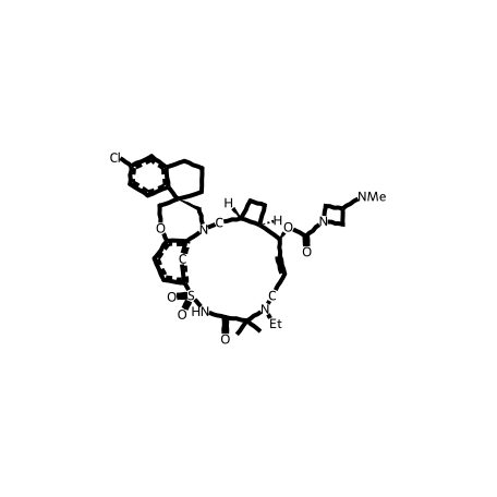 CCN1CC=C[C@H](OC(=O)N2CC(NC)C2)[C@@H]2CC[C@H]2CN2C[C@@]3(CCCc4cc(Cl)ccc43)COc3ccc(cc32)S(=O)(=O)NC(=O)C1(C)C